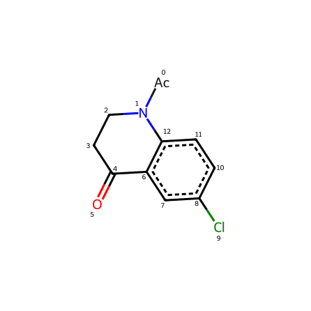 CC(=O)N1CCC(=O)c2cc(Cl)ccc21